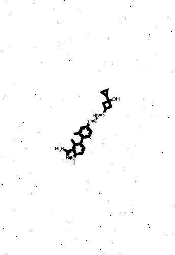 Cc1cc(OONSC2CC(O)(C3CC3)C2)ccc1-c1ccc2[nH]nc(N)c2c1C